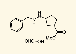 COC(=O)C1CCC(NNCc2ccccc2)C1.O=CO